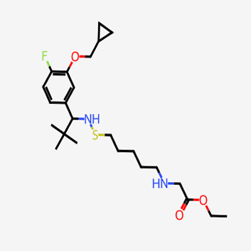 CCOC(=O)CNCCCCCSNC(c1ccc(F)c(OCC2CC2)c1)C(C)(C)C